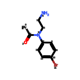 CC(C)C(=O)N(CCN)c1ccc(Br)cc1